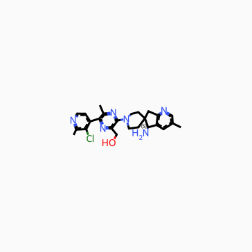 Cc1cnc2c(c1)[C@@H](N)C1(CCN(c3nc(C)c(-c4ccnc(C)c4Cl)nc3CO)CC1)C2